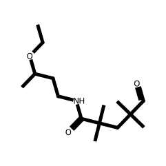 CCOC(C)CCNC(=O)C(C)(C)CC(C)(C)C=O